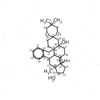 CC1(C)COC2(CC[C@@]34Cc5ccccc5C5C[C@]6(C)[C@@H](O)CC[C@H]6[C@H](CC[C@@]3(O)C2)C54)OC1